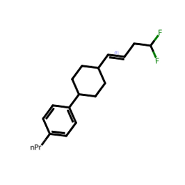 CCCc1ccc(C2CCC(/C=C/CC(F)F)CC2)cc1